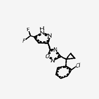 FC(F)c1cc(-c2nc(C3(c4ccccc4Cl)CC3)no2)n[nH]1